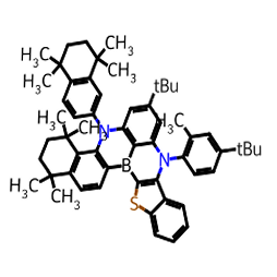 Cc1cc(C(C)(C)C)ccc1N1c2cc(C(C)(C)C)cc3c2B(c2ccc4c(c2N3c2ccc3c(c2)C(C)(C)CCC3(C)C)C(C)(C)CCC4(C)C)c2sc3ccccc3c21